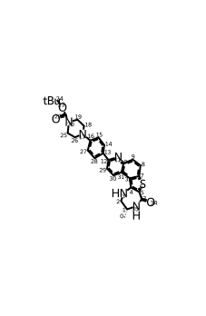 C[C@@H]1CNc2c(sc3ccc4nc(-c5ccc(N6CCN(C(=O)OC(C)(C)C)CC6)cc5)ccc4c23)C(=O)N1